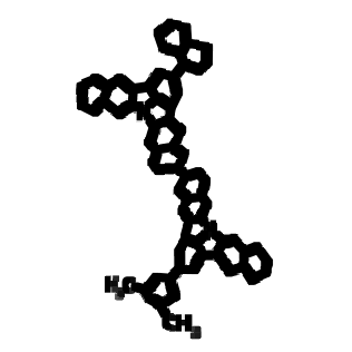 Cc1cc(C)cc(-c2cc3c4cc5ccccc5cc4n4c5cc6ccc(-c7ccc8cc9c(cc8c7)c7cc(-c8cccc%10ccccc8%10)cc8c%10cc%11ccccc%11cc%10n9c87)cc6cc5c(c2)c34)c1